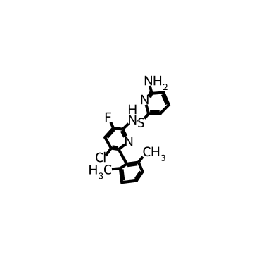 Cc1cccc(C)c1-c1nc(NSc2cccc(N)n2)c(F)cc1Cl